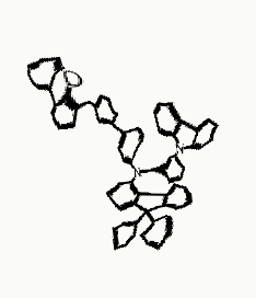 c1ccc(C2(c3ccccc3)c3ccccc3-c3c(N(c4ccc(-c5cccc(-c6cccc7c6oc6ccccc67)c5)cc4)c4cccc(-n5c6ccccc6c6ccccc65)c4)cccc32)cc1